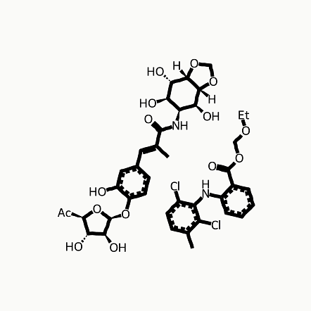 CC(=O)[C@H]1O[C@@H](Oc2ccc(/C=C(\C)C(=O)N[C@H]3[C@@H](O)[C@H](O)[C@@H]4OCO[C@@H]4[C@H]3O)cc2O)[C@@H](O)[C@@H]1O.CCOCOC(=O)c1ccccc1Nc1c(Cl)ccc(C)c1Cl